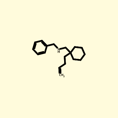 C=CCCC1(CNCc2ccccc2)CCCCC1